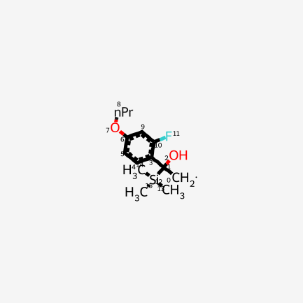 [CH2]C(O)(c1ccc(OCCC)cc1F)[Si](C)(C)C